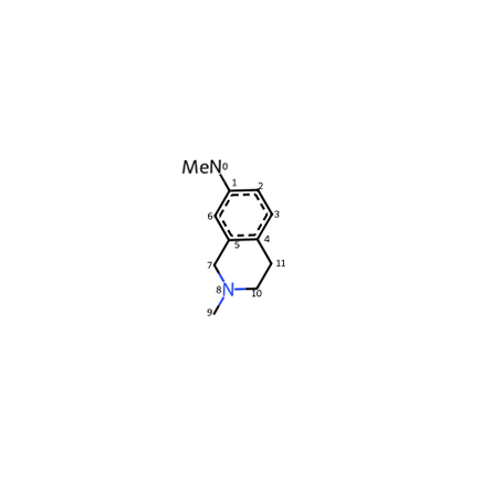 CNc1ccc2c(c1)CN(C)CC2